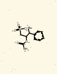 CC(C)(C)C(c1ccccc1)C(CS(=O)(=O)Cl)OC(N)=O